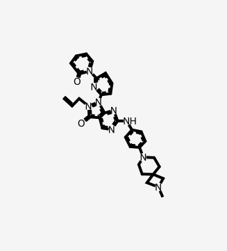 C=CCn1c(=O)c2cnc(Nc3ccc(N4CCC5(CC4)CN(C)C5)cc3)nc2n1-c1cccc(-n2ccccc2=O)n1